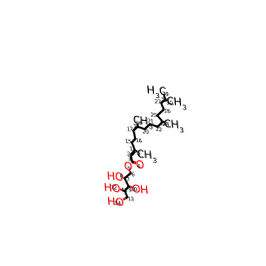 C/C(=C\C(=O)OCC(O)C(O)C(O)CO)CCCC(C)CCCC(C)CCCC(C)C